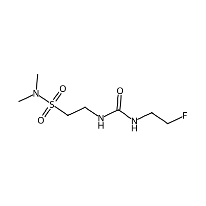 CN(C)S(=O)(=O)CCNC(=O)NCCF